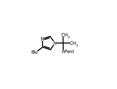 CCCCCC(C)(C)n1cnc(C(C)CC)c1